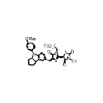 CCOC(=O)Cn1c(=O)/c(=C\c2ccc3c(c2)C2CCCC2N3c2ccc(OC)cc2)s/c1=C1/SC(=O)N(CC)C1=O